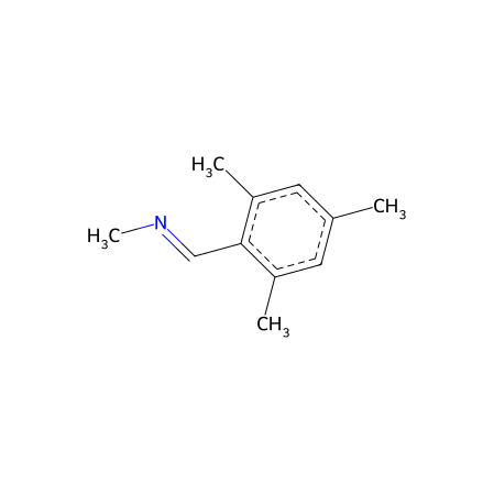 C/N=C/c1c(C)cc(C)cc1C